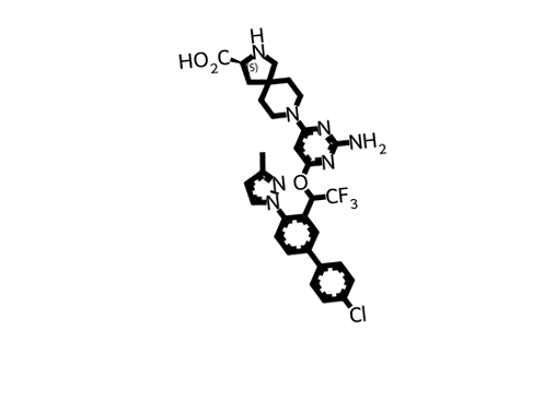 Cc1ccn(-c2ccc(-c3ccc(Cl)cc3)cc2C(Oc2cc(N3CCC4(CC3)CN[C@H](C(=O)O)C4)nc(N)n2)C(F)(F)F)n1